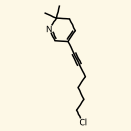 CC1(C)CC=C(C#CCCCCCl)C=N1